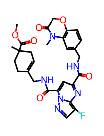 COC(=O)C1(C)CC=C(CNC(=O)c2cc(C(=O)NCc3ccc4c(c3)N(C)C(=O)CO4)nc3c(F)cnn23)CC1